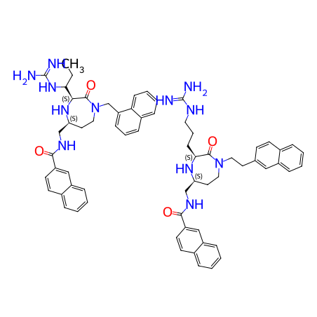 CCC(NC(=N)N)[C@@H]1N[C@H](CNC(=O)c2ccc3ccccc3c2)CCN(Cc2cccc3ccccc23)C1=O.N=C(N)NCCC[C@@H]1N[C@H](CNC(=O)c2ccc3ccccc3c2)CCN(CCc2ccc3ccccc3c2)C1=O